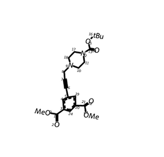 COC(=O)c1cc(C#CCN2CCN(C(=O)OC(C)(C)C)CC2)cc(C(=O)OC)c1